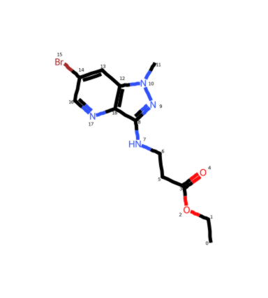 CCOC(=O)CCNc1nn(C)c2cc(Br)cnc12